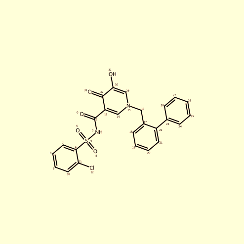 O=C(NS(=O)(=O)c1ccccc1Cl)c1cn(Cc2ccccc2-c2ccccc2)cc(O)c1=O